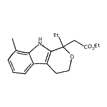 CCOC(=O)CC1(CC)OCCc2c1[nH]c1c(C)cccc21